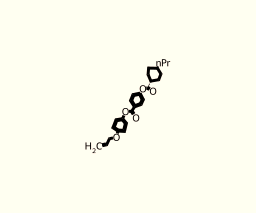 C=CCOc1ccc(OC(=O)c2ccc(OC(=O)[C@H]3CC[C@H](CCC)CC3)cc2)cc1